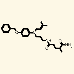 CC(C)=CCN(CCCNC(=O)[CH]CC(C)C(N)=O)c1ccc(OCc2ccccc2)cc1